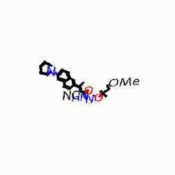 COCCC(C)(C)OCN(C)NC(=O)/C(C#N)=C(\C)c1ccc2cc(N3CCCCC3)ccc2c1